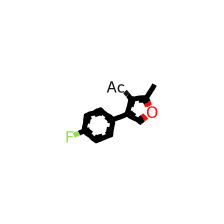 CC(=O)c1c(-c2ccc(F)cc2)coc1C